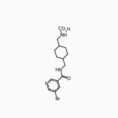 O=C(O)NCC1CCC(CNC(=O)c2cncc(Br)c2)CC1